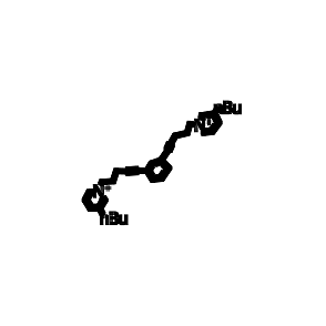 CCCCc1ccc[n+](CCCC#Cc2cccc(C#CCCC[n+]3cccc(CCCC)c3)c2)c1